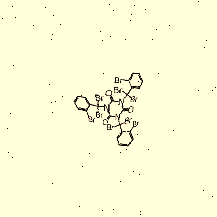 O=c1n(C(Br)(Br)c2ccccc2Br)c(=O)n(C(Br)(Br)c2ccccc2Br)c(=O)n1C(Br)(Br)c1ccccc1Br